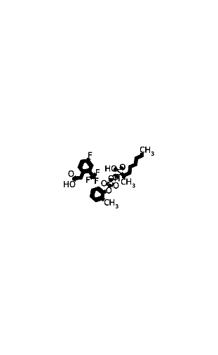 CCCCCCC(C)S(=O)(=O)O.Cc1ccccc1OS(=O)(=O)O.O=C(O)Cc1ccc(F)cc1C(F)(F)F